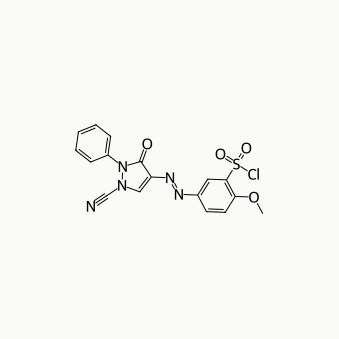 COc1ccc(/N=N/c2cn(C#N)n(-c3ccccc3)c2=O)cc1S(=O)(=O)Cl